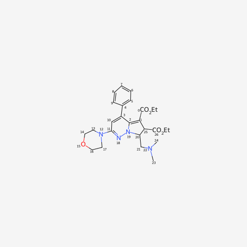 CCOC(=O)C1=C2C(c3ccccc3)=CC(N3CCOCC3)=NN2C(CN(C)C)C1C(=O)OCC